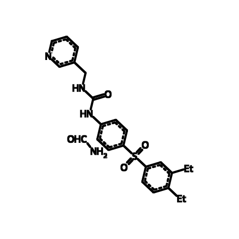 CCc1ccc(S(=O)(=O)c2ccc(NC(=O)NCc3cccnc3)cc2)cc1CC.NC=O